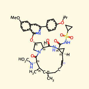 COc1ccc2c(O[C@@H]3C[C@H]4C(=O)N[C@]5(C(=O)NS(=O)(=O)C6CC6)C[C@H]5/C=C\CC[C@@H](C)C[C@@H](C)[C@H](NC(=O)O)C(=O)N4C3)nc(-c3ccc(OC(C)C)cc3)cc2c1